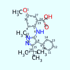 COc1ccc(Nc2c(-c3ccccc3)c(C(C)(C)C)nn2C)c(C(=O)O)c1